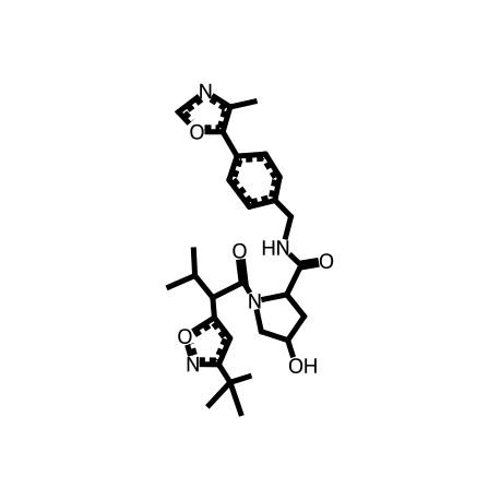 Cc1ncoc1-c1ccc(CNC(=O)C2CC(O)CN2C(=O)C(c2cc(C(C)(C)C)no2)C(C)C)cc1